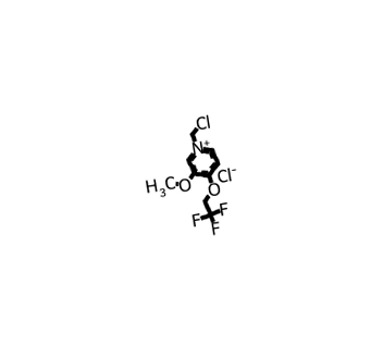 COc1c[n+](CCl)ccc1OCC(F)(F)F.[Cl-]